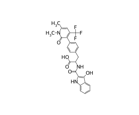 Cc1cc(C(F)(F)F)c(-c2ccc(CC(NC(=O)c3[nH]c4ccccc4c3O)C(=O)O)cc2)c(=O)n1C